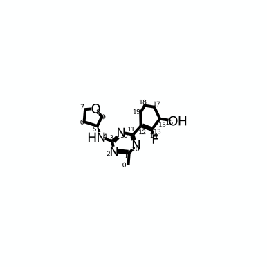 Cc1nc(N[C@H]2CCOC2)nc(C2=C(F)C(O)CCC2)n1